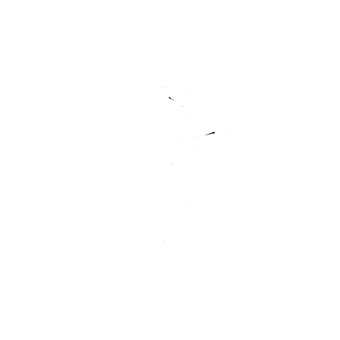 CC(O)COc1ccc2c(c1)CC[C@@H]1[C@@H]2CC[C@]2(C)C(=O)CC[C@@H]12